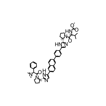 COC(=O)N[C@H](C(=O)N1CCC[C@H]1c1ncc(-c2ccc(-c3ccc4cc(-c5cnc([C@@H]6CCCN6C(=O)C(c6ccccc6)N(C)C)[nH]5)ccc4c3)cc2)[nH]1)C(C)C